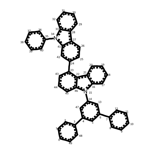 c1ccc(-c2cc(-c3ccccc3)cc(-n3c4ccccc4c4c(-c5ccc6c7ccccc7n(-c7ccccc7)c6c5)cccc43)c2)cc1